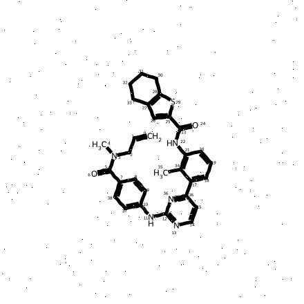 C=CCN(C)C(=O)c1ccc(Nc2nccc(-c3cccc(NC(=O)c4cc5c(s4)CCCC5)c3C)n2)cc1